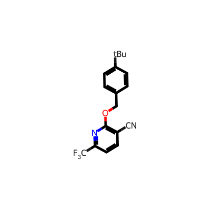 CC(C)(C)c1ccc(COc2nc(C(F)(F)F)ccc2C#N)cc1